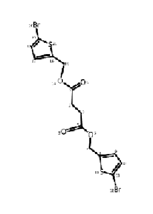 O=C(CCC(=O)OCc1ccc(Br)s1)OCc1ccc(Br)s1